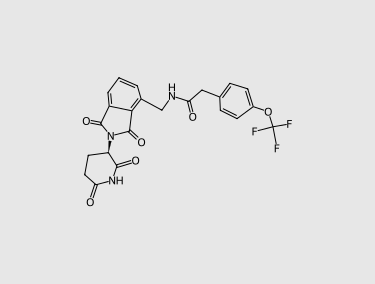 O=C(Cc1ccc(OC(F)(F)F)cc1)NCc1cccc2c1C(=O)N([C@@H]1CCC(=O)NC1=O)C2=O